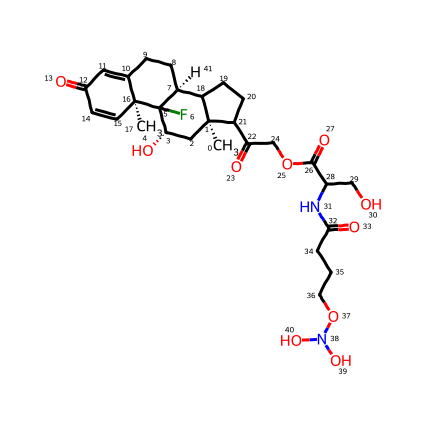 C[C@]12C[C@H](O)C3(F)[C@@H](CCC4=CC(=O)C=C[C@@]43C)C1CCC2C(=O)COC(=O)C(CO)NC(=O)CCCON(O)O